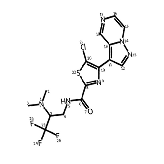 CN(C)C(CNC(=O)c1nc(-c2cnn3ccncc23)c(Cl)s1)C(F)(F)F